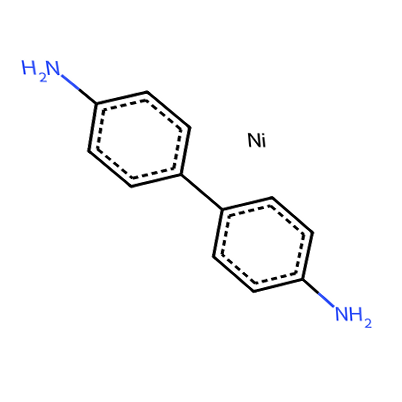 Nc1ccc(-c2ccc(N)cc2)cc1.[Ni]